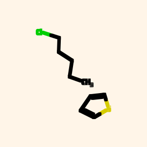 CCCCCCl.c1ccsc1